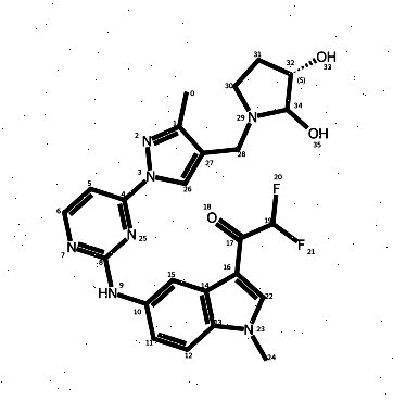 Cc1nn(-c2ccnc(Nc3ccc4c(c3)c(C(=O)C(F)F)cn4C)n2)cc1CN1CC[C@H](O)C1O